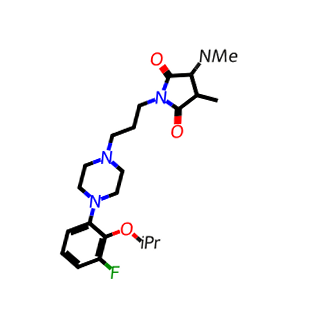 CNC1C(=O)N(CCCN2CCN(c3cccc(F)c3OC(C)C)CC2)C(=O)C1C